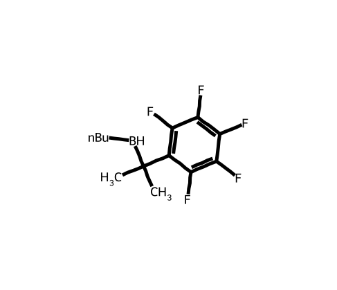 CCCCBC(C)(C)c1c(F)c(F)c(F)c(F)c1F